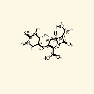 C[C@@H](O)[C@H]1C(=O)N2C(C(=O)O)=C(SC3CN(C)C(=S)N(C)C3)[C@H](C)[C@H]12